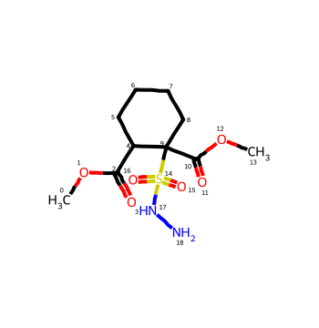 COC(=O)C1CCCCC1(C(=O)OC)S(=O)(=O)NN